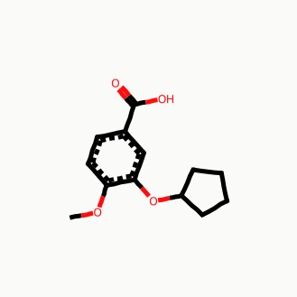 COc1ccc(C(=O)O)cc1OC1CCCC1